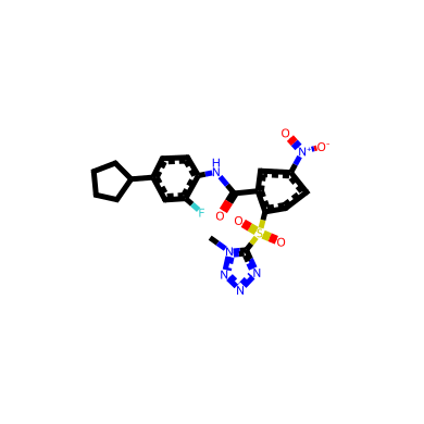 Cn1nnnc1S(=O)(=O)c1ccc([N+](=O)[O-])cc1C(=O)Nc1ccc(C2CCCC2)cc1F